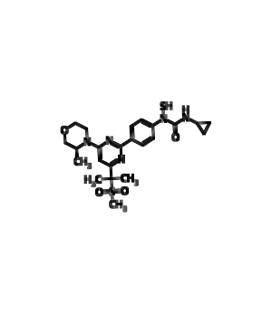 C[C@H]1COCCN1c1cc(C(C)(C)S(C)(=O)=O)nc(-c2ccc(N(S)C(=O)NC3CC3)cc2)n1